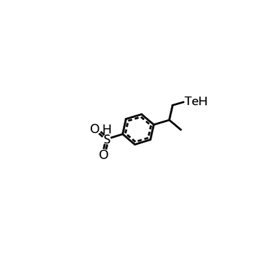 CC(C[TeH])c1ccc([SH](=O)=O)cc1